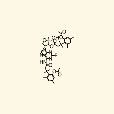 CC(=O)Oc1cc(C)cc(C)c1C(C)(C)CC(=O)Nc1nc(F)nc2c1ncn2C1CO[C@](C)(CO)[C@H]1OC(=O)CC(C)(C)c1c(C)cc(C)cc1OC(C)=O